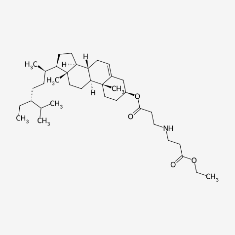 CCOC(=O)CCNCCC(=O)O[C@H]1CC[C@@]2(C)C(=CC[C@H]3[C@@H]4CC[C@H]([C@H](C)CC[C@@H](CC)C(C)C)[C@@]4(C)CC[C@@H]32)C1